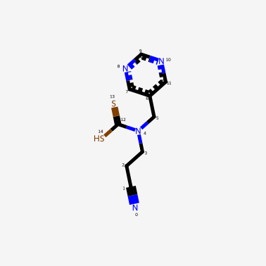 N#CCCN(Cc1cncnc1)C(=S)S